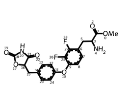 COC(=O)C(N)Cc1ccc(Oc2ccc(CC3OC(=O)NC3=O)cc2)c(F)c1F